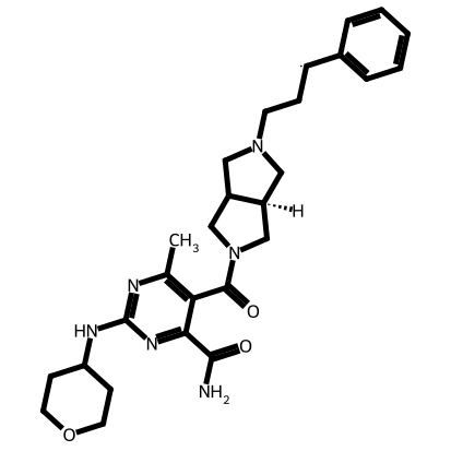 Cc1nc(NC2CCOCC2)nc(C(N)=O)c1C(=O)N1CC2CN(CC[CH]c3ccccc3)C[C@H]2C1